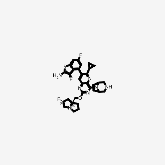 Nc1sc2cc(F)cc(-c3cc4nc(OC[C@@]56CCCN5C[C@H](F)C6)nc(N5C6CCC5CNC6)c4nc3C3CC3)c2c1F